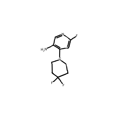 Nc1cnc(F)cc1N1CCC(F)(F)CC1